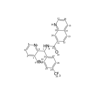 CC(C)(C)c1cccnc1C(NC(=O)c1ccc2cccnc2c1)c1ccc(C(F)(F)F)cc1